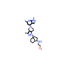 COCCNC1CCC2(Cn3nc(C)c4c3CCN(c3cc(C)nc5c3cnn5C)C4)CCCC1C2